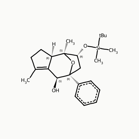 CC1=C2[C@@H](CC1)[C@]1(C)O[C@@](c3ccccc3)(C[C@H]1O[Si](C)(C)C(C)(C)C)[C@H]2O